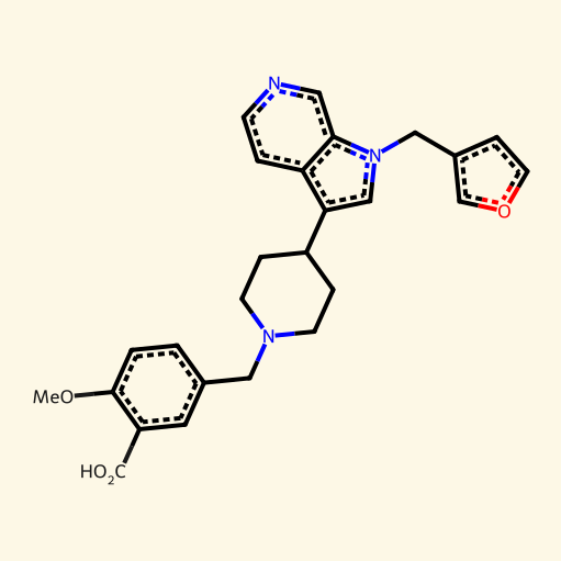 COc1ccc(CN2CCC(c3cn(Cc4ccoc4)c4cnccc34)CC2)cc1C(=O)O